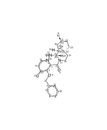 O=C1c2c(OCc3ccccc3)c(=O)ccn2N[C@@H]2[C@H]3C[C@@H]4CC[C@@]3(CCN12)O4